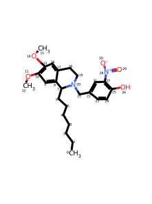 CCCCCCCC1c2cc(OC)c(OC)cc2CCN1Cc1ccc(O)c([N+](=O)[O-])c1